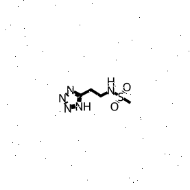 CS(=O)(=O)NCCc1nnn[nH]1